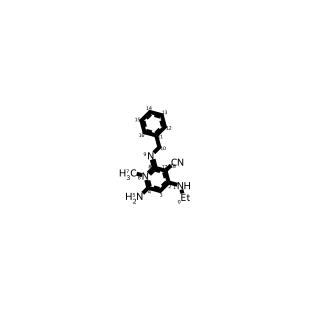 CCNc1cc(N)n(C)c(=NCc2ccccc2)c1C#N